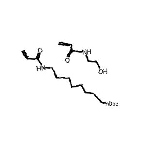 C=CC(=O)NCCCCCCCCCCCCCCCCCC.C=CC(=O)NCCO